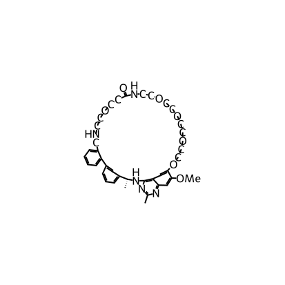 COc1cc2nc(C)nc3c2cc1OCCOCCOCCOCCNC(=O)CCOCCNCc1ccccc1-c1cccc(c1)[C@@H](C)N3